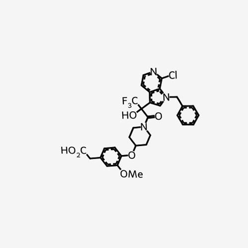 COc1cc(CC(=O)O)ccc1OC1CCN(C(=O)C(O)(c2cn(Cc3ccccc3)c3c(Cl)nccc23)C(F)(F)F)CC1